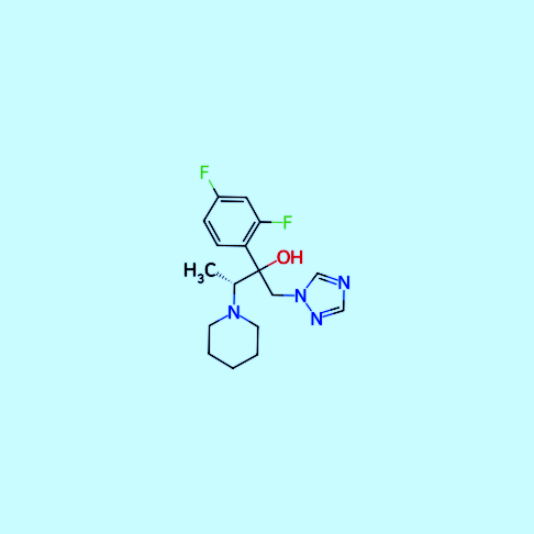 C[C@@H](N1CCCCC1)C(O)(Cn1cncn1)c1ccc(F)cc1F